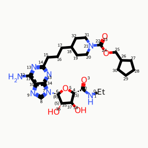 CCNC(=O)[C@H]1O[C@@H](n2cnc3c(N)nc(CCCC4CCN(C(=O)OCC5CCCC5)CC4)nc32)[C@@H](O)C1O